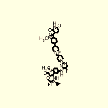 Cn1nc(C2CCC(=O)NC2=O)c2ccc(C3CCN(CC4(F)CCN(c5ncc(F)c(Nc6ccc7c(c6)c6c(c(=O)n7C)OCC(F)(F)[C@H](C7CC7)N6)n5)CC4)CC3)cc21